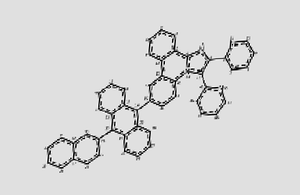 c1ccc(-c2nc3c4ccccc4c4cc(-c5c6ccccc6c(-c6ccc7ccccc7c6)c6ccccc56)ccc4n3c2-c2ccccn2)nc1